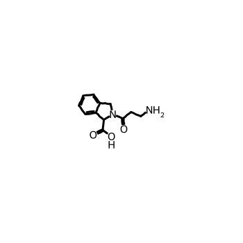 NCCC(=O)N1Cc2ccccc2C1C(=O)O